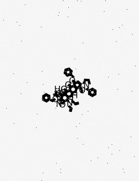 C=CCN(CC=C)[C@@H]1c2onc(OCc3ccccc3)c2C(=O)C2(O[Si](C)(C)C(C)(C)C)C(O)=C3C(=O)c4c(OCc5ccccc5)cc([C@@H]5CCCN5Cc5ccccc5)c(OC)c4C[C@H]3C[C@@H]12